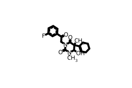 CN1C(=O)N(CC(=O)c2cccc(F)c2)C(=O)C(C)(C2=CCCCC2)C1O